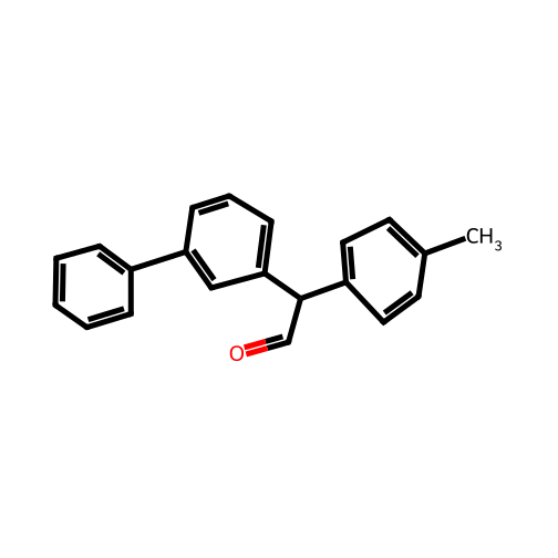 Cc1ccc(C(C=O)c2cccc(-c3ccccc3)c2)cc1